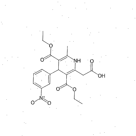 CCOC(=O)C1=C(C)NC(CC(=O)O)=C(C(=O)OCC)C1c1cccc([N+](=O)[O-])c1